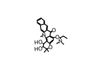 CCC(Oc1cc2c(c3c1c(=O)c1cc4ccccc4cc1n3C)C(O)C(O)C(C)(C)O2)N(C)C